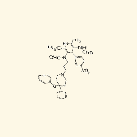 CC1=C(NC=O)C(c2ccc([N+](=O)[O-])cc2)C(N(C=O)CCCN2CCC(Oc3ccccc3)(c3ccccc3)CC2)=C(C)N1